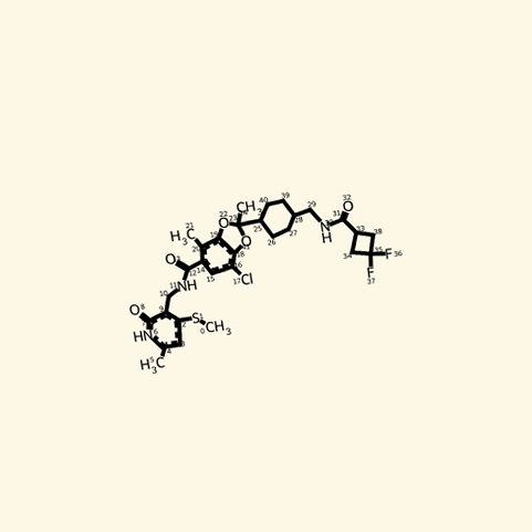 CSc1cc(C)[nH]c(=O)c1CNC(=O)c1cc(Cl)c2c(c1C)OC(C)(C1CCC(CNC(=O)C3CC(F)(F)C3)CC1)O2